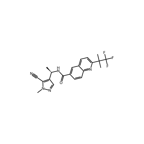 C[C@@H](NC(=O)c1ccc2nc(C(C)(C)C(F)(F)F)ccc2c1)c1cnn(C)c1C#N